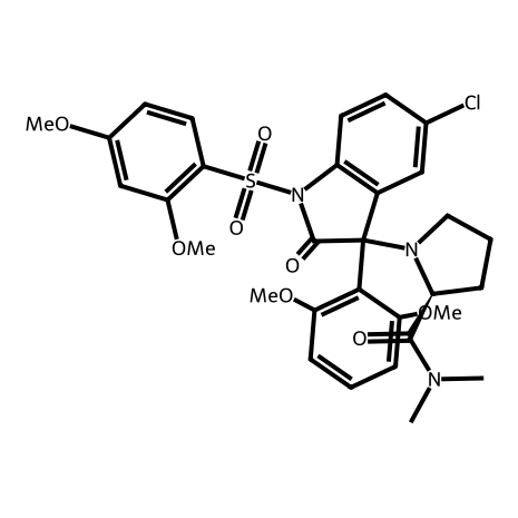 COc1ccc(S(=O)(=O)N2C(=O)C(c3c(OC)cccc3OC)(N3CCC[C@H]3C(=O)N(C)C)c3cc(Cl)ccc32)c(OC)c1